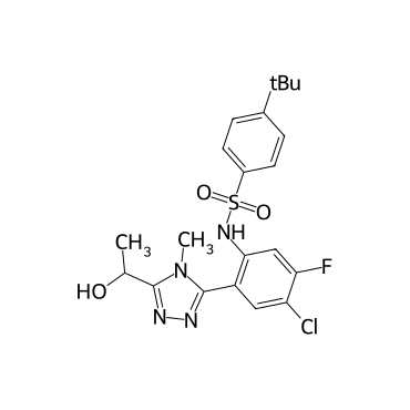 CC(O)c1nnc(-c2cc(Cl)c(F)cc2NS(=O)(=O)c2ccc(C(C)(C)C)cc2)n1C